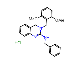 COc1cccc(OC)c1CN1Cc2ccccc2N=C1NCc1ccccc1.Cl